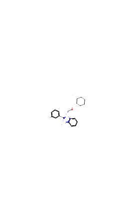 CC(C)[C@@H]1CC[C@@H](C)C[C@H]1OC(=O)Cn1c(-c2cccc(F)c2)[n+](C)c2ccccc21